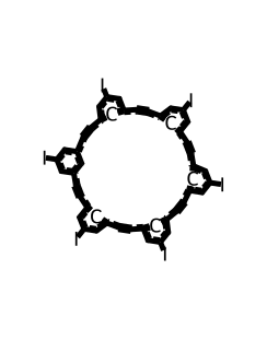 Ic1cc2c#cc3cc(I)cc(c#cc4cc(I)cc(c#cc5cc(I)cc(c#cc6cc(I)cc(c#cc7cc(I)cc(c#cc(c1)c2)c7)c6)c5)c4)c3